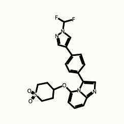 O=S1(=O)CCC(Oc2cccc3ncc(-c4ccc(-c5cnn(C(F)F)c5)cc4)n23)CC1